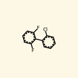 Fc1[c]ccc(F)c1-c1ccccc1Cl